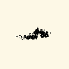 CC(CO[Si](c1ccccc1)(c1ccccc1)C(C)(C)C)Oc1cc(F)cc2ccc(-c3nnc4ccc([C@@H](N5CCC(NC(=O)O)C5)C(F)(F)F)cn34)nc12